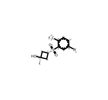 C[C@]1(O)C[C@H](S(=O)(=O)c2cc(Br)ccc2C(F)(F)F)C1